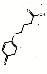 O=C(O)CCCOC1=CCC(=S)C=C1